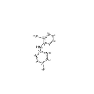 Fc1cnc(Nc2ccccc2F)nc1